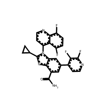 NC(=O)c1cc(-c2ccnc(F)c2F)cc2c1nc(C1CC1)n2-c1ccnc2c(F)ccc(F)c12